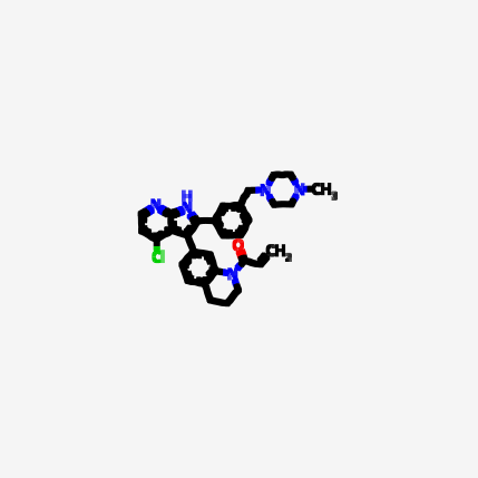 C=CC(=O)N1CCCc2ccc(-c3c(-c4cccc(CN5CCN(C)CC5)c4)[nH]c4nccc(Cl)c34)cc21